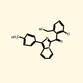 N#CCc1cccc(Cl)c1C(=O)c1nc(-c2ccc(C(=O)O)cc2)c2ccccn12